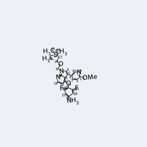 COc1ccc(-c2cn(COCC[Si](C)(C)C)c3nccc(Oc4c(F)cc(N)cc4F)c23)cn1